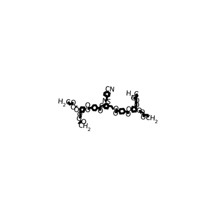 C=CC(=O)OCOc1ccc(OC(=O)C2CCC(C(=O)OCCc3ccc(OC(=O)C4CCC(C(=O)Oc5ccc(OCOC(=O)C=C)c(OCOC(=O)C=C)c5)CC4)c4nc(-c5ccc(C#N)cc5)sc34)CC2)cc1OCOC(=O)C=C